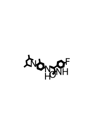 Cc1cc(NC=C2C(=O)Nc3cc(F)ccc32)ccc1N1CC(C)CC(C)C1